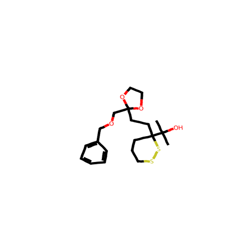 CC(C)(O)C1(CCC2(COCc3ccccc3)OCCO2)CCCSS1